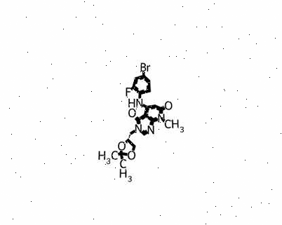 Cn1c(=O)cc(Nc2ccc(Br)cc2F)c2c(=O)n(C[C@@H]3COC(C)(C)O3)cnc21